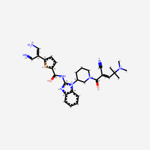 CN(C)C(C)(C)/C=C(\C#N)C(=O)N1CCCC(n2c(NC(=O)c3ccc(/C(C=N)=C/N)s3)nc3ccccc32)C1